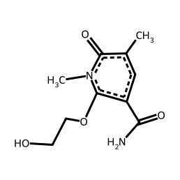 Cc1cc(C(N)=O)c(OCCO)n(C)c1=O